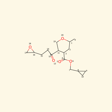 CC1CC(C(=O)OCC2CC2)C(C(=O)CCC2CO2)CO1